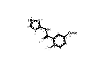 COc1ccc(O)c(C(=O)Nc2nc[nH]n2)c1